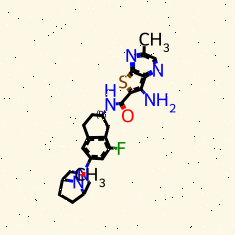 Cc1cnc2c(N)c(C(=O)N[C@@H]3CCc4cc(N5CC6CCC(C5)N6C)cc(F)c4C3)sc2n1